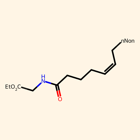 CCCCCCCCCC/C=C\CCCC(=O)NCC(=O)OCC